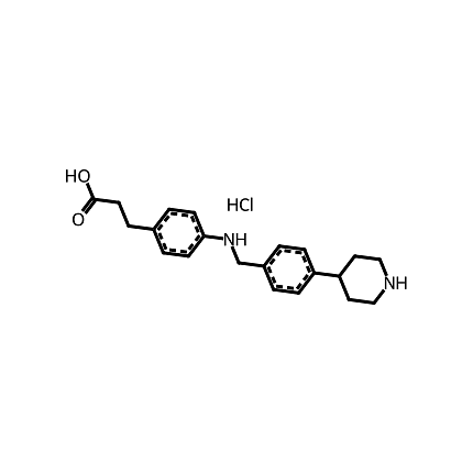 Cl.O=C(O)CCc1ccc(NCc2ccc(C3CCNCC3)cc2)cc1